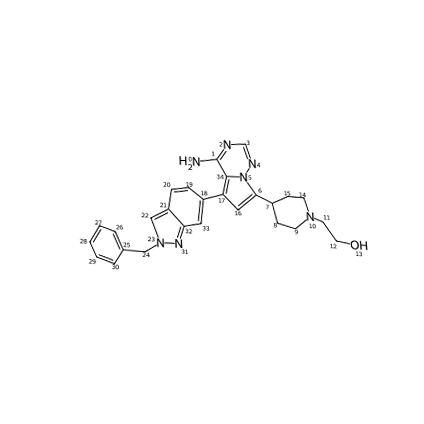 Nc1ncnn2c(C3CCN(CCO)CC3)cc(-c3ccc4cn(Cc5ccccc5)nc4c3)c12